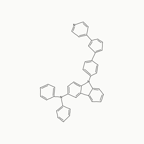 c1ccc(N(c2ccccc2)c2ccc3c(c2)c2ccccc2n3-c2ccc(-c3cccc(-c4ccncc4)c3)cc2)cc1